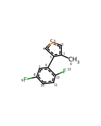 Cc1[c]scc1-c1cc(F)ccc1F